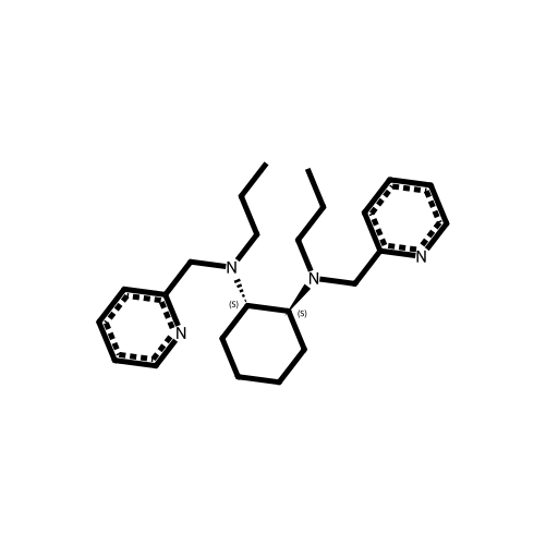 CCCN(Cc1ccccn1)[C@H]1CCCC[C@@H]1N(CCC)Cc1ccccn1